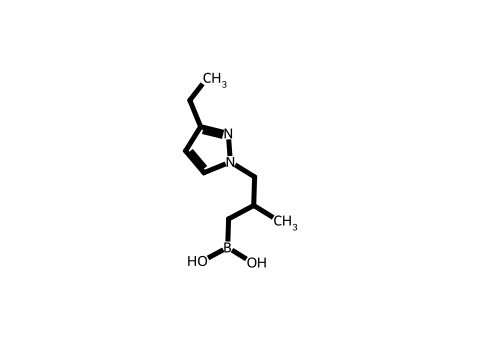 CCc1ccn(CC(C)CB(O)O)n1